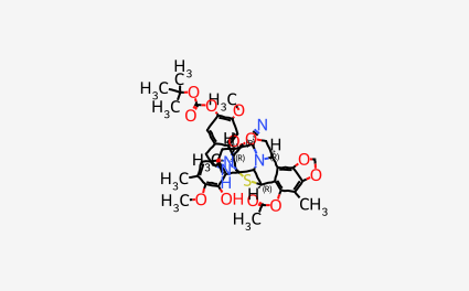 COc1cc2c(cc1OC(=O)OC(C)(C)C)CCN[C@]21CS[C@@H]2c3c(OC(C)=O)c(C)c4c(c3[C@H](COC1=O)N1C2C2c3c(cc(C)c(OC)c3O)C[C@@H]([C@@H]1C#N)N2C)OCO4